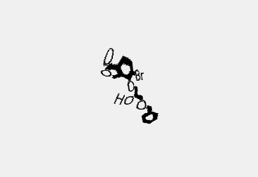 O=C1OCc2c1ccc(Br)c2OCC(O)COCc1ccccc1